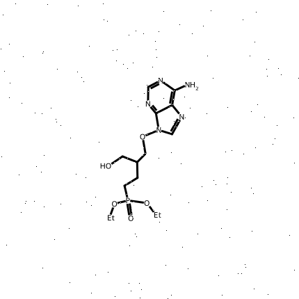 CCOP(=O)(CCC(CO)COn1cnc2c(N)ncnc21)OCC